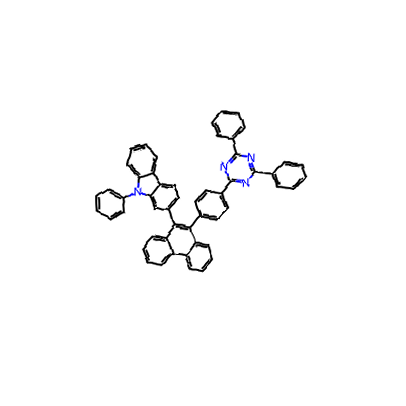 c1ccc(-c2nc(-c3ccccc3)nc(-c3ccc(-c4c(-c5ccc6c7ccccc7n(-c7ccccc7)c6c5)c5ccccc5c5ccccc45)cc3)n2)cc1